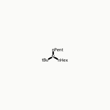 CCCCCCN(CCCCC)C(C)(C)C